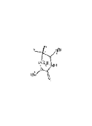 CCCCC(NC(=O)OC(C)(C)C)C(C)(C)C(=O)O